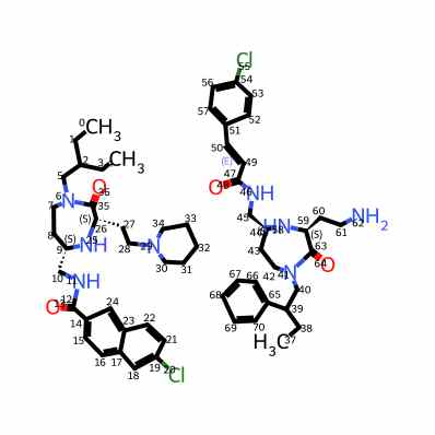 CCC(CC)CN1CC[C@@H](CNC(=O)c2ccc3cc(Cl)ccc3c2)N[C@@H](CCN2CCCCC2)C1=O.CCC(CN1CC[C@@H](CNC(=O)/C=C/c2ccc(Cl)cc2)N[C@@H](CCN)C1=O)c1ccccc1